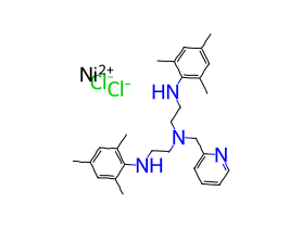 Cc1cc(C)c(NCCN(CCNc2c(C)cc(C)cc2C)Cc2ccccn2)c(C)c1.[Cl-].[Cl-].[Ni+2]